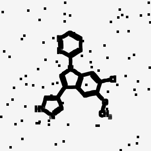 COc1cc2c(-c3cn[nH]c3)cn(-c3cccnn3)c2cc1Cl